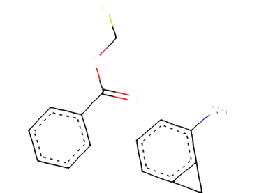 Nc1cccc2c1C2.O=C(OCS)c1ccccc1